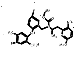 COc1ccc([N+](=O)[O-])c(CC(C)N(Cc2cc(F)ccc2Nc2cc(C(F)(F)F)c(F)cc2C(=O)O)C(=O)OC(C)(C)C)n1